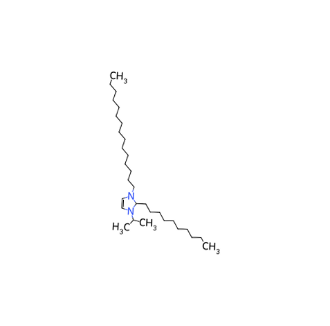 CCCCCCCCCCCCCCCN1C=CN(C(C)C)C1CCCCCCCCCC